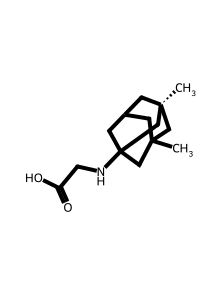 CC12CC3CC(NCC(=O)O)(C1)C[C@@](C)(C3)C2